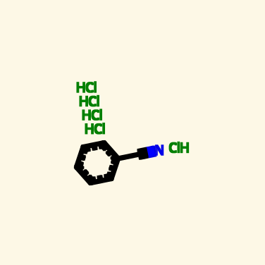 Cl.Cl.Cl.Cl.Cl.N#Cc1ccccc1